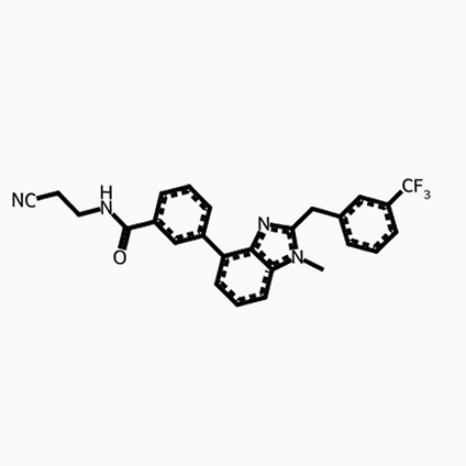 Cn1c(Cc2cccc(C(F)(F)F)c2)nc2c(-c3cccc(C(=O)NCCC#N)c3)cccc21